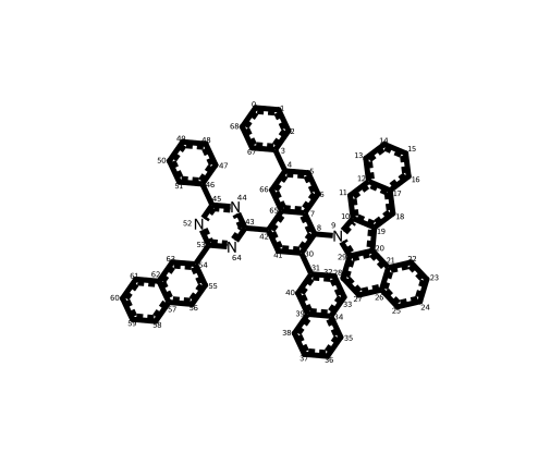 c1ccc(-c2ccc3c(-n4c5cc6ccccc6cc5c5c6ccccc6ccc54)c(-c4ccc5ccccc5c4)cc(-c4nc(-c5ccccc5)nc(-c5ccc6ccccc6c5)n4)c3c2)cc1